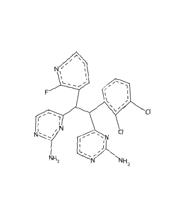 Nc1nccc(C(c2cccnc2F)C(c2ccnc(N)n2)c2cccc(Cl)c2Cl)n1